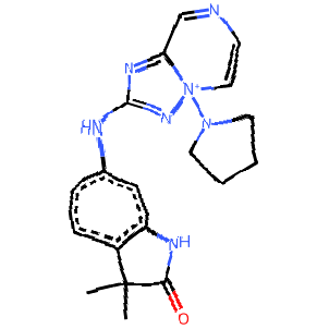 CC1(C)C(=O)Nc2cc(NC3=N[N+]4(N5CCCC5)C=CN=CC4=N3)ccc21